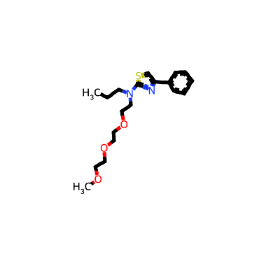 CCCN(CCOCCOCCOC)c1nc(-c2ccccc2)cs1